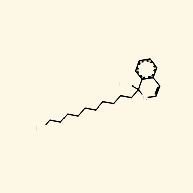 CCCCCCCCCCCC1(C)NC=Cc2ccccc21